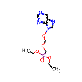 CCOP(=O)(COCOn1cnc2cncnc21)OCC